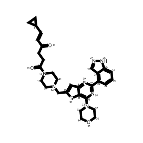 O=C(/C=C/C1CC1)CCC(=O)N1CCN(Cc2cc3nc(-c4cccc5[nH]ncc45)nc(N4CCOCC4)c3s2)CC1